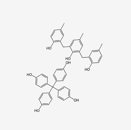 Cc1ccc(O)c(Cc2cc(C)cc(Cc3cc(C)ccc3O)c2O)c1.Oc1ccc(C(c2ccc(O)cc2)(c2ccc(O)cc2)c2ccc(O)cc2)cc1